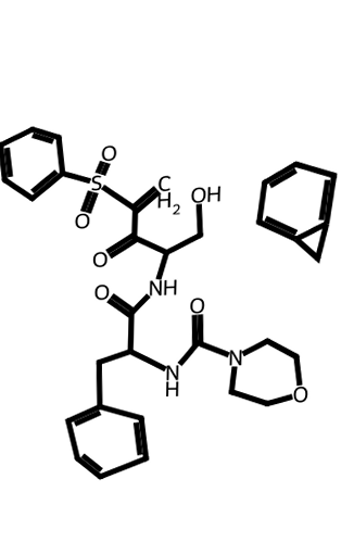 C=C(C(=O)C(CO)NC(=O)C(Cc1ccccc1)NC(=O)N1CCOCC1)S(=O)(=O)c1ccccc1.c1ccc2c(c1)C2